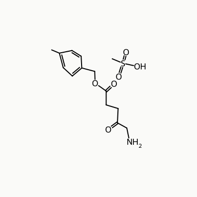 CS(=O)(=O)O.Cc1ccc(COC(=O)CCC(=O)CN)cc1